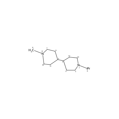 CC(C)N1CCC(C2CCN(C)CC2)CC1